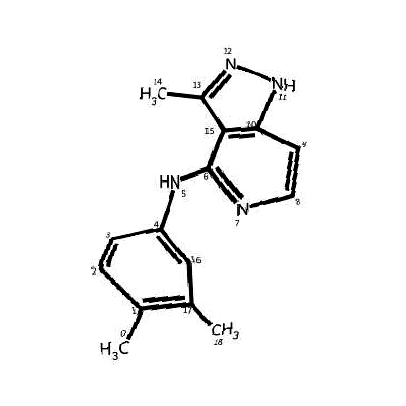 Cc1ccc(Nc2nccc3[nH]nc(C)c23)cc1C